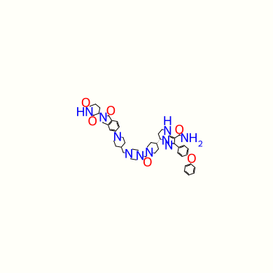 NC(=O)c1c(-c2ccc(Oc3ccccc3)cc2)nn2c1NCC[C@H]2C1CCN(C(=O)N2CCN(CC3CCN(c4ccc5c(c4)CN(C4CCC(=O)NC4=O)C5=O)CC3)CC2)CC1